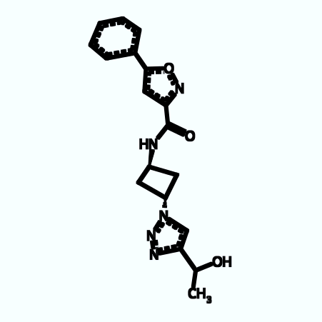 CC(O)c1cn([C@H]2C[C@H](NC(=O)c3cc(-c4ccccc4)on3)C2)nn1